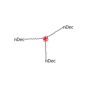 CCCCCCCCCCCCCCCCCCCCCCCCCCCCOP(=O)(OCCCCCCCCCCCCCCCCCCCCCCCCCCCC)OCCCCCCCCCCCCCCCCCCCCCCCCCCCC